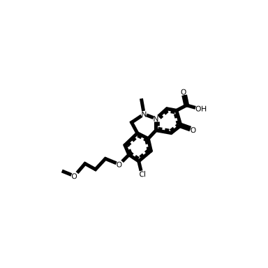 COCCCOc1cc2c(cc1Cl)-c1cc(=O)c(C(=O)O)cn1N(C)C2